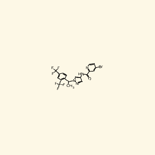 CC(c1ccc(C(F)(F)F)cc1C(F)(F)F)n1cc(NC(=O)c2cc(Br)ccn2)cn1